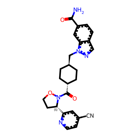 N#Cc1ccnc([C@@H]2CCON2C(=O)[C@H]2CC[C@H](Cn3ncc4ccc(C(N)=O)cc43)CC2)c1